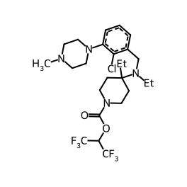 CCN(Cc1cccc(N2CCN(C)CC2)c1Cl)C1(CC)CCN(C(=O)OC(C(F)(F)F)C(F)(F)F)CC1